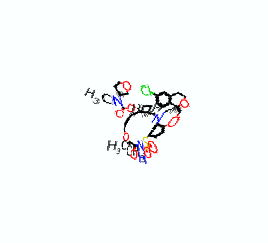 CN(C(=O)O[C@H]1C=CCOC(C)(C)C(=O)NS(=O)(=O)c2ccc3c(c2)N(C[C@@H]2CC[C@H]21)C[C@]1(CO3)OCCc2cc(Cl)ccc21)[C@@H]1CCOC1